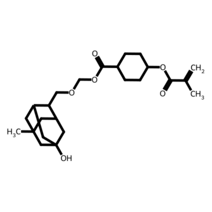 C=C(C)C(=O)OC1CCC(C(=O)OCOCC2C3CC4(C)CC2CC(O)(C3)C4)CC1